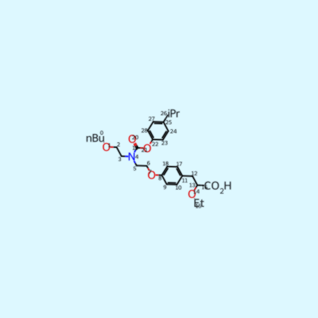 CCCCOCCN(CCOc1ccc(CC(OCC)C(=O)O)cc1)C(=O)Oc1ccc(C(C)C)cc1